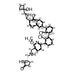 COc1nc(-c2cccc(-c3cccc(-c4ccn5c(=O)c(CNCC6(O)CCC6)cnc5c4)c3Cl)c2Cl)ccc1CNC[C@@H]1CCC(=O)N1